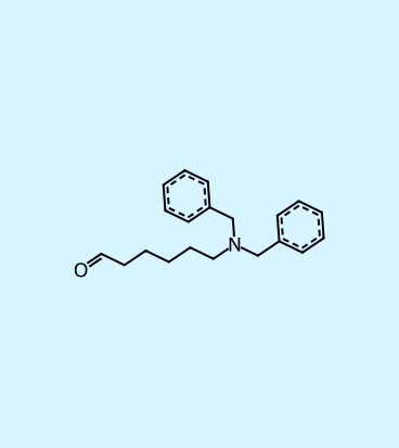 O=CCCCCCN(Cc1ccccc1)Cc1ccccc1